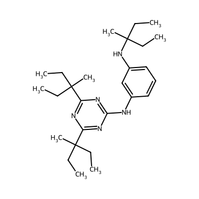 CCC(C)(CC)Nc1cccc(Nc2nc(C(C)(CC)CC)nc(C(C)(CC)CC)n2)c1